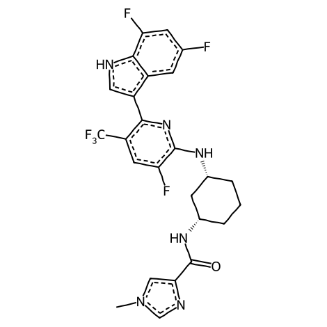 Cn1cnc(C(=O)N[C@H]2CCC[C@@H](Nc3nc(-c4c[nH]c5c(F)cc(F)cc45)c(C(F)(F)F)cc3F)C2)c1